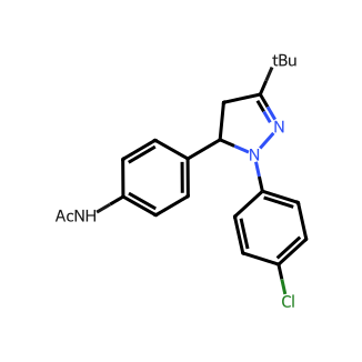 CC(=O)Nc1ccc(C2CC(C(C)(C)C)=NN2c2ccc(Cl)cc2)cc1